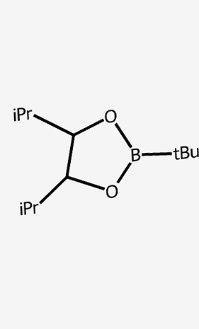 CC(C)C1OB(C(C)(C)C)OC1C(C)C